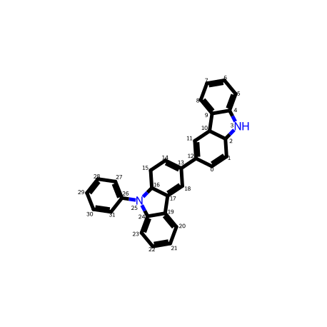 C1=CC2Nc3ccccc3C2C=C1C1=CCC2C(=C1)c1ccccc1N2c1ccccc1